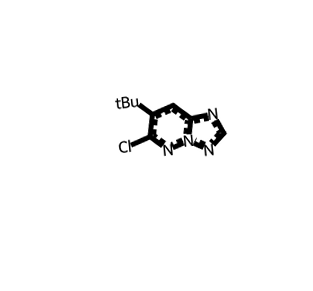 CC(C)(C)c1cc2ncnn2nc1Cl